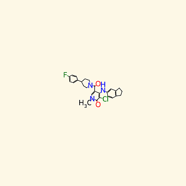 Cn1cc(C(=O)N2CCC(c3ccc(F)cc3)CC2)c(Nc2ccc3c(c2)CCC3)c(Cl)c1=O